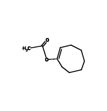 [CH2]C(=O)O/C1=C/CCCCCC1